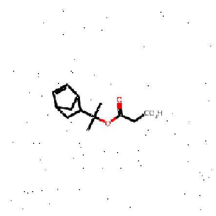 CC(C)(OC(=O)CC(=O)O)C1CC2C=CC1C2